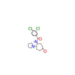 CN(C(=O)c1ccc(Cl)c(Cl)c1)C1CCC(=O)CCC1N1CCCC1